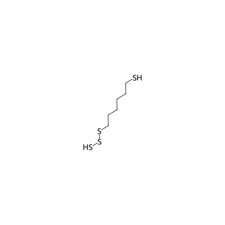 SCCCCCCSSS